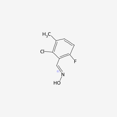 Cc1ccc(F)c(/C=N/O)c1Cl